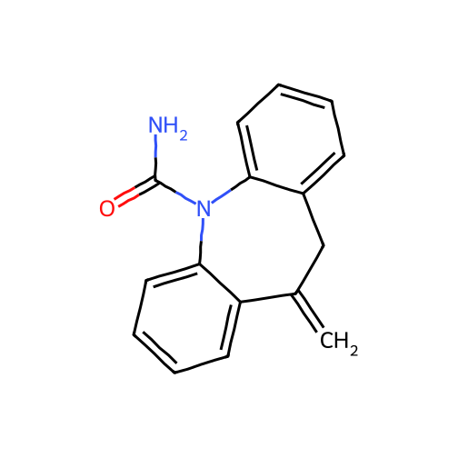 C=C1Cc2ccccc2N(C(N)=O)c2ccccc21